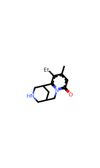 CCc1c(C)cc(=O)n2c1C1CNCC(C1)C2